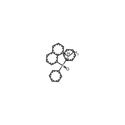 O=[PH](P)c1cccc2cccc(P(=O)(c3ccccc3)c3ccccc3)c12